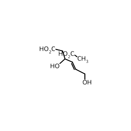 CC(=O)O.O=C(O)CC(O)C=CCO